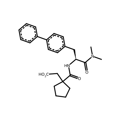 CN(C)C(=O)[C@H](Cc1ccc(-c2ccccc2)cc1)NC(=O)C1(CC(=O)O)CCCC1